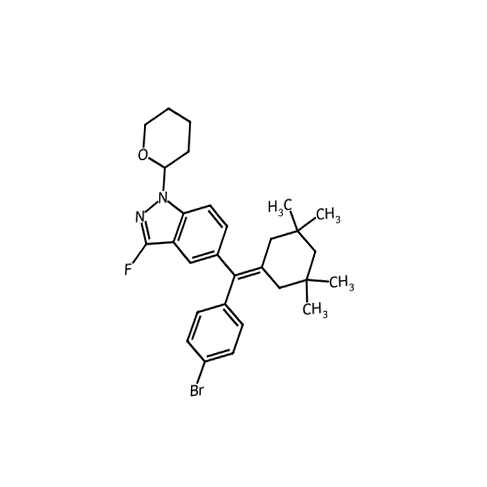 CC1(C)CC(=C(c2ccc(Br)cc2)c2ccc3c(c2)c(F)nn3C2CCCCO2)CC(C)(C)C1